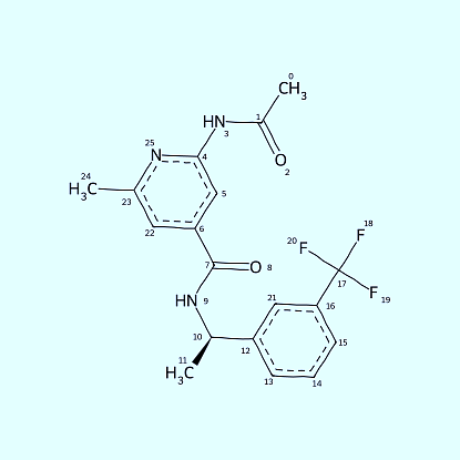 CC(=O)Nc1cc(C(=O)N[C@H](C)c2cccc(C(F)(F)F)c2)cc(C)n1